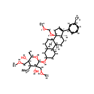 CCOCO[C@@]12CC=C(c3cccc(C(F)(F)F)c3)[C@@]1(C)CC[C@@H]1[C@H]2CCC2CC(O[C@@H]3O[C@H](C)[C@](O)(COCC)[C@H](OC)[C@]3(O)COCC)CC[C@@]21C